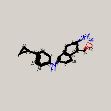 NC1=CCc2cc(Nc3ccc(C4CC4)cc3)ccc2[C@@H]1C=O